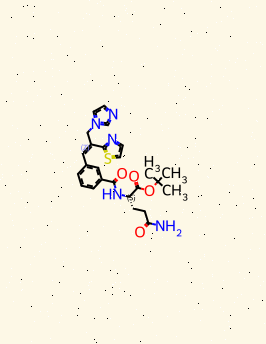 CC(C)(C)OC(=O)[C@H](CCC(N)=O)NC(=O)c1cccc(/C=C(/Cn2ccnc2)c2nccs2)c1